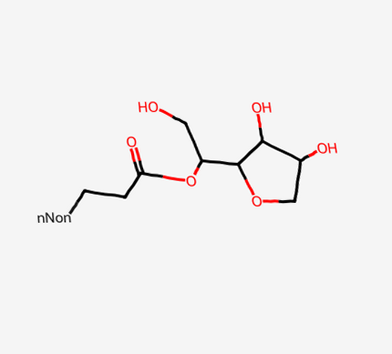 CCCCCCCCCCCC(=O)OC(CO)C1OCC(O)C1O